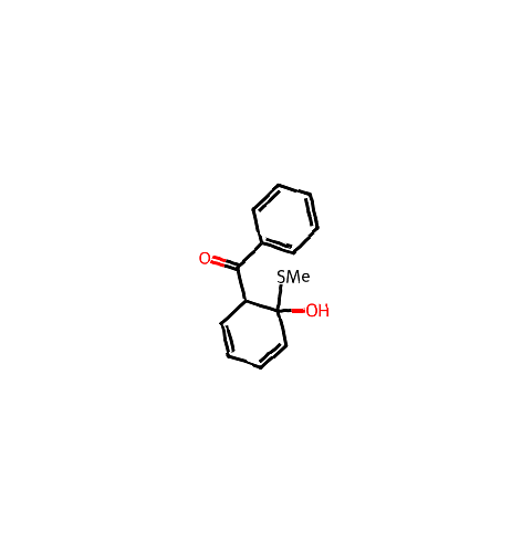 CSC1(O)C=CC=CC1C(=O)c1ccccc1